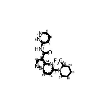 O=C(Nc1cccnn1)c1cnn2ccc(N3CCCCC3C(F)(F)F)nc12